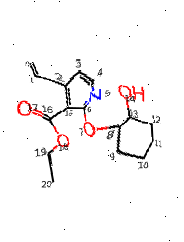 C=Cc1ccnc(OC2CCCCC2O)c1C(=O)OCC